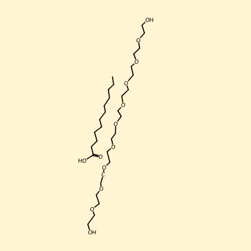 CCCCCCCCCCCC(=O)O.OCCOCCOCCOCCOCCOCCOCCOCCOCCOCCO